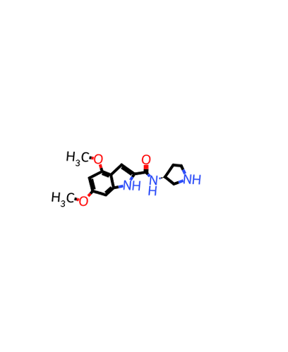 COc1cc(OC)c2cc(C(=O)N[C@@H]3CCNC3)[nH]c2c1